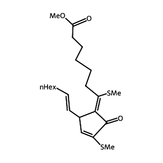 CCCCCCC=CC1C=C(SC)C(=O)C1=C(CCCCCC(=O)OC)SC